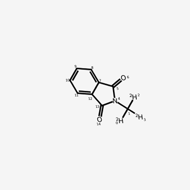 [2H]C([2H])([2H])N1C(=O)c2ccccc2C1=O